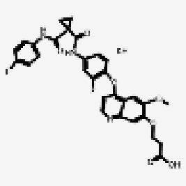 COc1cc2c(Oc3ccc(NC(=O)C4(C(=O)Nc5ccc(F)cc5)CC4)cc3F)ccnc2cc1OCCC(=O)O.[KH]